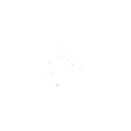 COc1ccc(C(=O)Nc2cc(Cl)cc(O)c2NC(=O)c2ccc(-c3nccn(CCN(C)C)c3=O)cc2)cc1